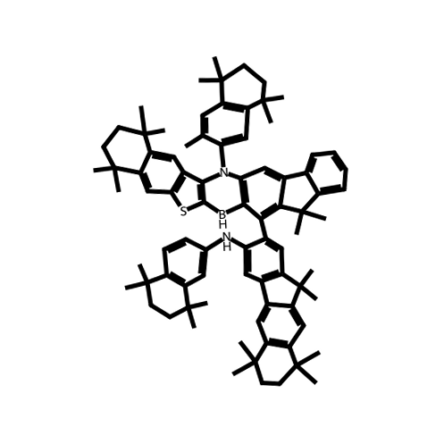 Cc1cc2c(cc1N1c3cc4c(c(-c5cc6c(cc5Nc5ccc7c(c5)C(C)(C)CCC7(C)C)-c5cc7c(cc5C6(C)C)C(C)(C)CCC7(C)C)c3Bc3sc5cc6c(cc5c31)C(C)(C)CCC6(C)C)C(C)(C)c1ccccc1-4)C(C)(C)CCC2(C)C